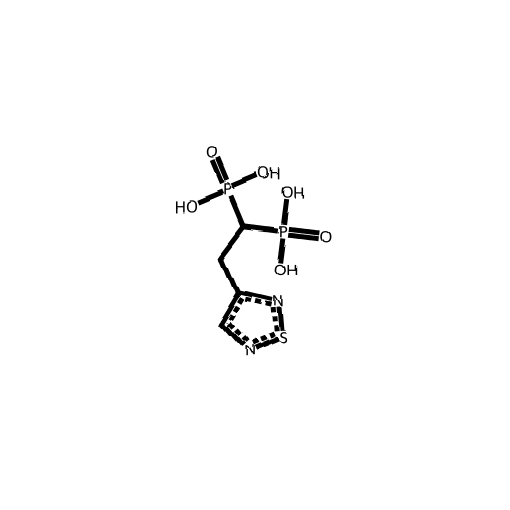 O=P(O)(O)C(Cc1cnsn1)P(=O)(O)O